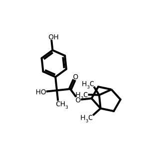 CC(O)(C(=O)OC1CC2CCC1(C)C2(C)C)c1ccc(O)cc1